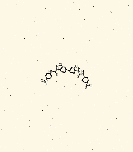 O=[N+]([O-])c1ccc(NC(=S)Nc2ccc(-c3ccc(NC(=S)Nc4ccc([N+](=O)[O-])cc4)c(Cl)c3)cc2Cl)cc1